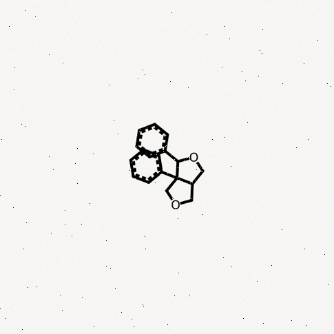 c1ccc(C2OCC3COCC32c2ccccc2)cc1